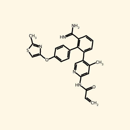 C=CC(=O)Nc1cc(C)c(-c2cccc(C(=N)N)c2-c2ccc(Oc3csc(C)n3)cc2)cn1